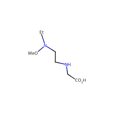 CCN(CCNCC(=O)O)OC